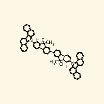 CC1(C)c2cc(-c3ccc4c(c3)C(C)(C)C3C=C(n5c6ccc7ccccc7c6c6ccc7ccccc7c65)C=CC43)ccc2-c2ccc(-n3c4ccc5ccccc5c4c4ccc5ccccc5c43)cc21